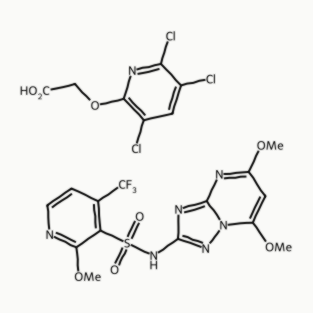 COc1cc(OC)n2nc(NS(=O)(=O)c3c(C(F)(F)F)ccnc3OC)nc2n1.O=C(O)COc1nc(Cl)c(Cl)cc1Cl